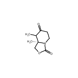 CC1C(=O)CCN2C(=O)OC[C@@]12C